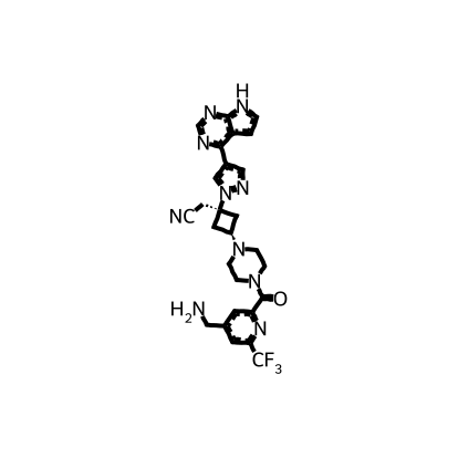 N#CC[C@]1(n2cc(-c3ncnc4[nH]ccc34)cn2)C[C@H](N2CCN(C(=O)c3cc(CN)cc(C(F)(F)F)n3)CC2)C1